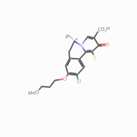 COCCCOc1cc2c(cc1Cl)-c1c(F)c(=O)c(C(=O)O)cn1[C@@H](C(C)C)C2